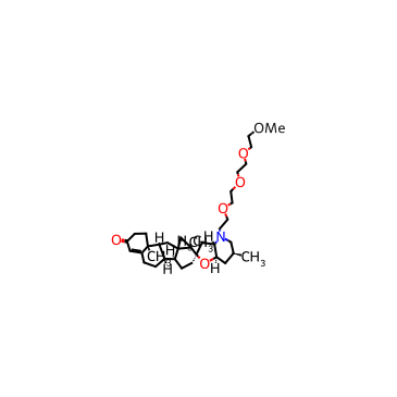 COCCOCCOCCOCCN1C[C@@H](C)C[C@H]2O[C@]3(CC[C@H]4[C@@H]5CCC6=CC(=O)CC[C@]6(C)[C@H]5CC45CC53C)[C@H](C)[C@@H]21